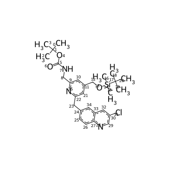 CC(C)(C)OC(=O)NCc1cc(CO[Si](C)(C)C(C)(C)C)cc(Cc2ccc3ncc(Cl)cc3c2)n1